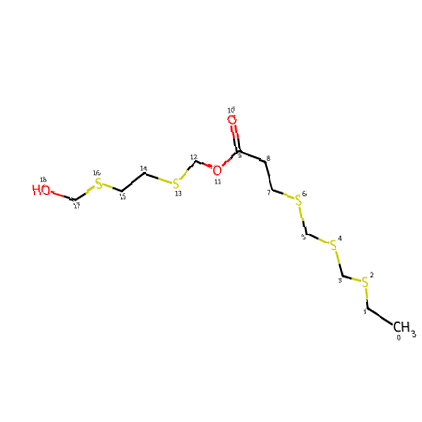 CCSCSCSCCC(=O)OCSCCSCO